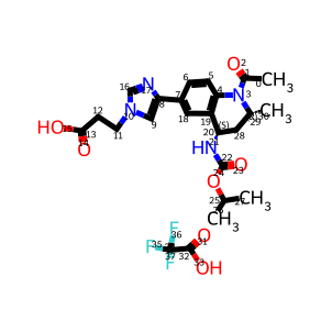 CC(=O)N1c2ccc(-c3cn(CCC(=O)O)cn3)cc2[C@@H](NC(=O)OC(C)C)C[C@H]1C.O=C(O)C(F)(F)F